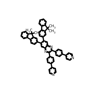 CC1(C)c2ccccc2-c2ccc(-c3cc4nc(-c5ccc(-c6ccncc6)cc5)c(-c5ccc(-c6ccncc6)cc5)nc4cc3-c3ccc4c(c3)C(C)(C)c3ccccc3-4)cc21